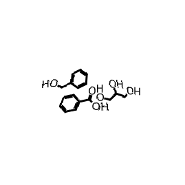 O=C(O)c1ccccc1.OCC(O)CO.OCc1ccccc1